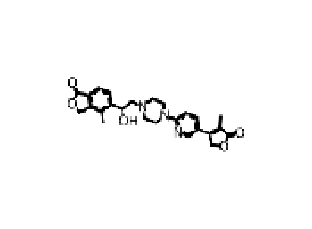 CC1=C(c2ccc(N3CCN(C[C@H](O)c4ccc5c(c4C)COC5=O)CC3)nc2)COC1=O